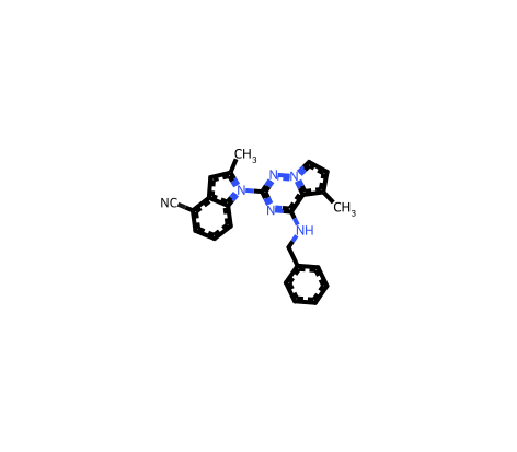 Cc1ccn2nc(-n3c(C)cc4c(C#N)cccc43)nc(NCc3ccccc3)c12